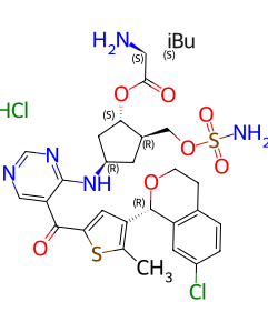 CC[C@H](C)[C@H](N)C(=O)O[C@H]1C[C@H](Nc2ncncc2C(=O)c2cc([C@@H]3OCCc4ccc(Cl)cc43)c(C)s2)C[C@@H]1COS(N)(=O)=O.Cl